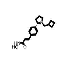 O=C(C=Cc1ccc([C@@H]2CCCN2CC2CCC2)cc1)NO